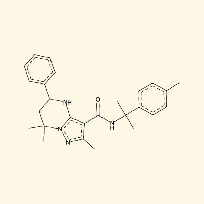 Cc1ccc(C(C)(C)NC(=O)c2c(C)nn3c2NC(c2ccccc2)CC3(C)C)cc1